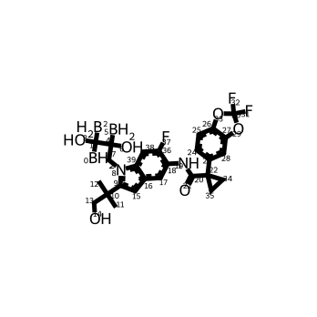 BC(B)(O)C(B)(O)Cn1c(C(C)(C)CO)cc2cc(NC(=O)C3(c4ccc5c(c4)OC(F)(F)O5)CC3)c(F)cc21